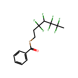 CC(F)(F)C(F)(F)C(F)C(F)(F)CCSC(=O)c1ccccc1